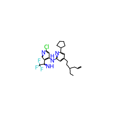 C=CCC(CC)CCc1cc(Nc2cc(Cl)ncc2C(=N)C(F)(F)F)nc(C2CCCC2)c1